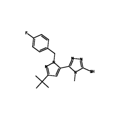 Cn1c(S)nnc1-c1cc(C(C)(C)C)nn1Cc1ccc(F)cc1